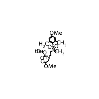 COC(=O)CN(CCN(C)S(=O)(=O)c1c(C)cc(OC)cc1C)C(=O)OC(C)(C)C